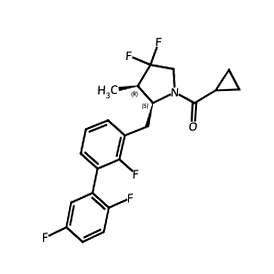 C[C@@H]1[C@H](Cc2cccc(-c3cc(F)ccc3F)c2F)N(C(=O)C2CC2)CC1(F)F